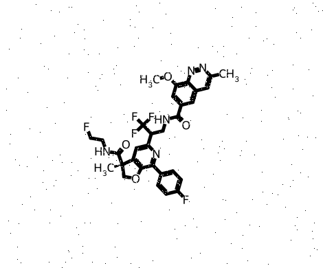 COc1cc(C(=O)NCC(c2cc3c(c(-c4ccc(F)cc4)n2)OC[C@]3(C)C(=O)NCCF)C(F)(F)F)cc2cc(C)nnc12